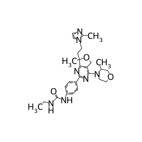 CCNC(=O)Nc1ccc(-c2nc(N3CCOCC3C)c3c(n2)C(C)(CCn2ccnc2C)OC3)cc1